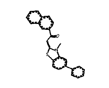 CN1C(=CC(=O)c2ccc3ccccc3c2)Sc2ccc(-c3ccccc3)cc21